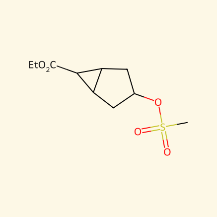 CCOC(=O)C1C2CC(OS(C)(=O)=O)CC21